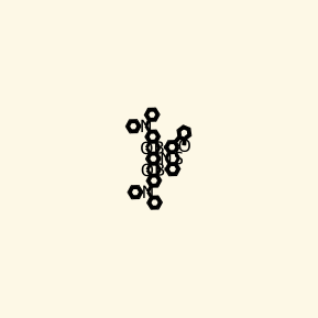 c1ccc(N(c2ccccc2)c2ccc3c(c2)Oc2cc4c5c6c2B3c2cccc3c2N6c2c(cc6c(oc7ccccc76)c2S3)B5c2ccc(N(c3ccccc3)c3ccccc3)cc2O4)cc1